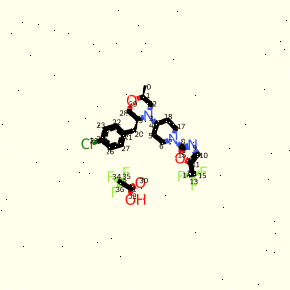 C[C@H]1CN(C2CCN(c3ncc(C(F)(F)F)o3)CC2)[C@@H](Cc2ccc(Cl)cc2)CO1.O=C(O)C(F)(F)F